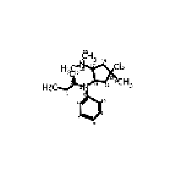 CCC(=O)N(c1ccccc1)C1CC(C)(Cl)CC1N(C)C